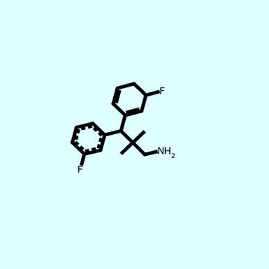 CC(C)(CN)C(C1=CC(F)CC=C1)c1cccc(F)c1